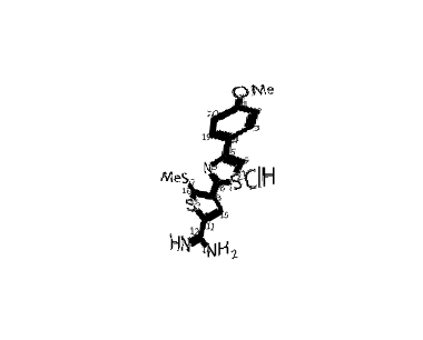 COc1ccc(-c2csc(-c3cc(C(=N)N)sc3SC)n2)cc1.Cl